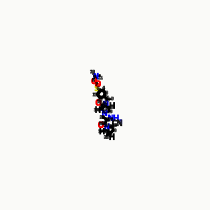 C[C@H](c1ccc(SOON(C)C)cc1)N1C(=O)[C@@H]2C[C@H]1CN2C[C@H](N)C(=O)N1[C@H](C#N)C[C@@H]2C[C@@H]21